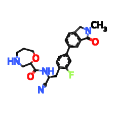 CN1Cc2ccc(-c3ccc(C[C@@H](C#N)NC(=O)C4CNCCCO4)c(F)c3)cc2C1=O